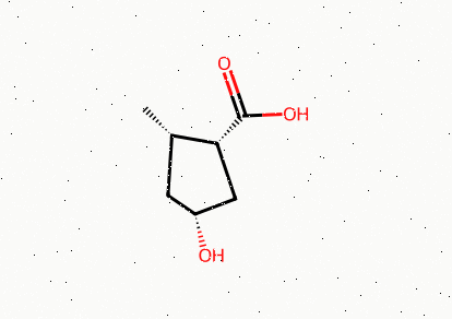 C[C@H]1C[C@@H](O)C[C@H]1C(=O)O